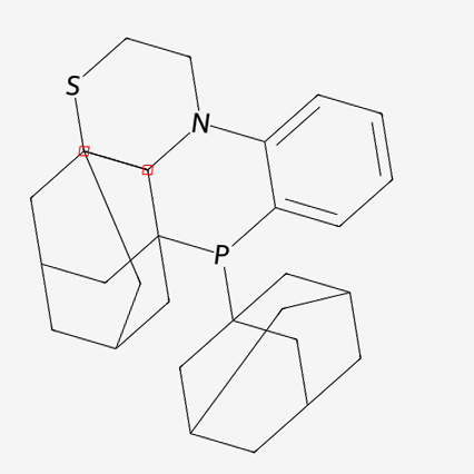 c1ccc(P(C23CC4CC(CC(C4)C2)C3)C23CC4CC(CC(C4)C2)C3)c(N2CCSCC2)c1